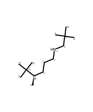 C[C@H](CCCNCC(C)(C)C)C(C)(C)C